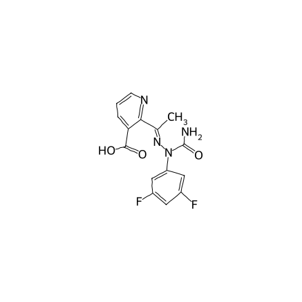 C/C(=N\N(C(N)=O)c1cc(F)cc(F)c1)c1ncccc1C(=O)O